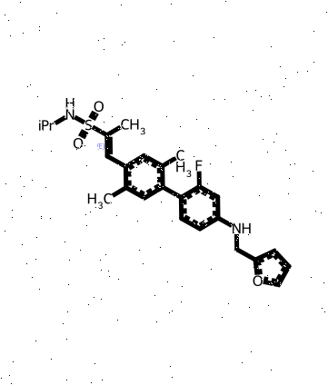 C/C(=C\c1cc(C)c(-c2ccc(NCc3ccco3)cc2F)cc1C)S(=O)(=O)NC(C)C